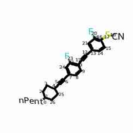 CCCCCC1CCC(C#Cc2ccc(C#Cc3ccc(SC#N)c(F)c3)c(F)c2)CC1